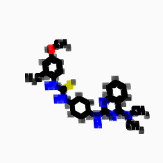 COc1ccc(NC(=S)NC2CCC(Nc3nc(N(C)C)c4ccccc4n3)CC2)c(C)c1